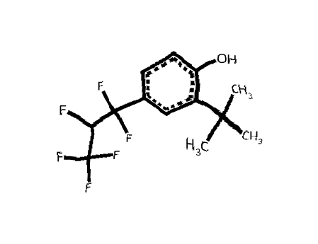 CC(C)(C)c1cc(C(F)(F)C(F)C(F)(F)F)ccc1O